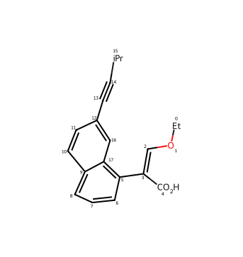 CCOC=C(C(=O)O)c1cccc2ccc(C#CC(C)C)cc12